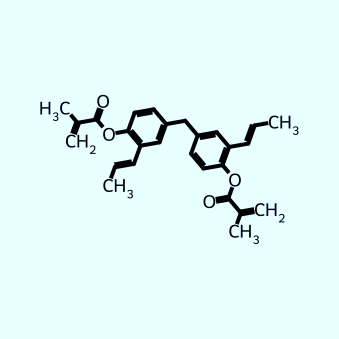 C=C(C)C(=O)Oc1ccc(Cc2ccc(OC(=O)C(=C)C)c(C=CC)c2)cc1C=CC